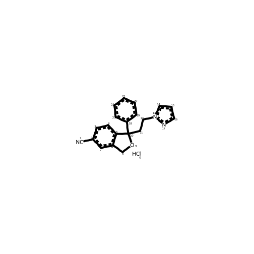 Cl.N#Cc1ccc2c(c1)COC2(CCn1cccn1)c1ccccc1